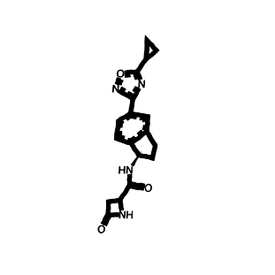 O=C1CC(C(=O)N[C@@H]2CCc3cc(-c4noc(C5CC5)n4)ccc32)N1